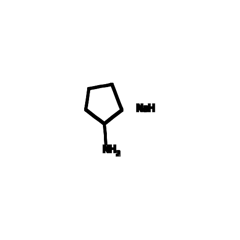 NC1CCCC1.[NaH]